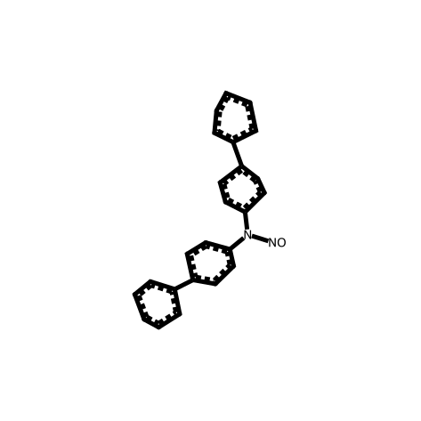 O=NN(c1ccc(-c2ccccc2)cc1)c1ccc(-c2ccccc2)cc1